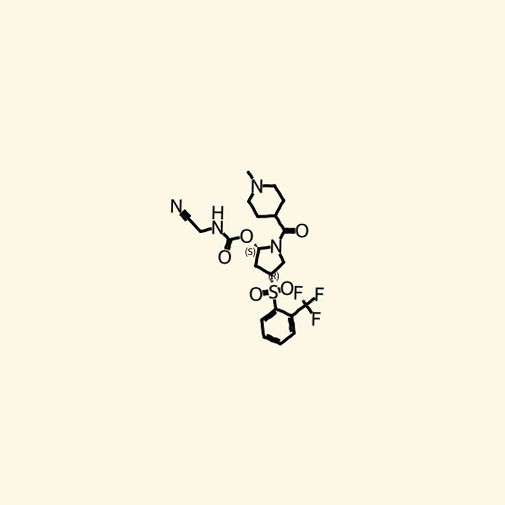 CN1CCC(C(=O)N2C[C@H](S(=O)(=O)c3ccccc3C(F)(F)F)C[C@@H]2OC(=O)NCC#N)CC1